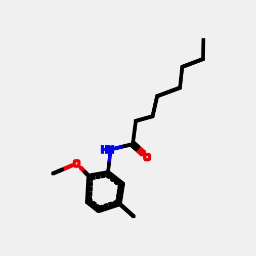 CCCCCCCC(=O)Nc1cc(C)ccc1OC